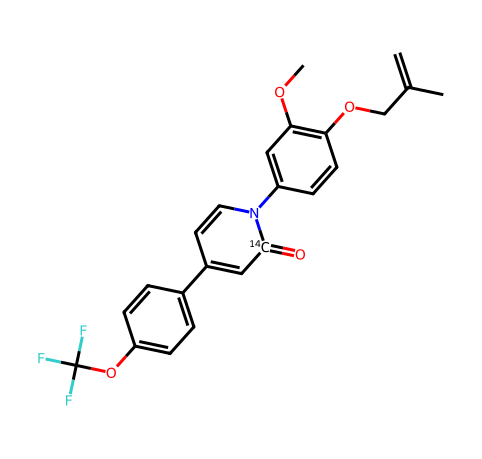 C=C(C)COc1ccc(-n2ccc(-c3ccc(OC(F)(F)F)cc3)c[14c]2=O)cc1OC